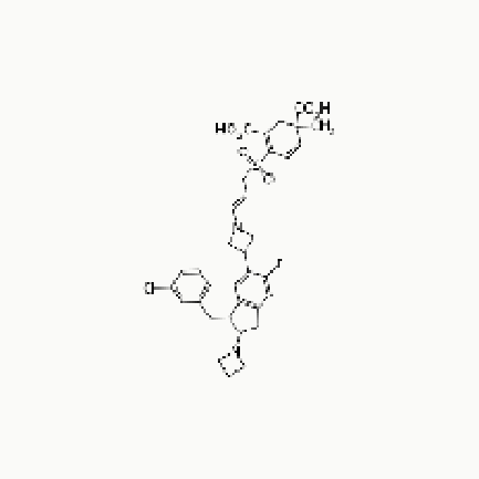 CC1(C(=O)O)C=CC(S(=O)(=O)CC=CN2CC(c3cc4c(cc3F)CC(N3CCC3)C4Cc3cccc(Cl)c3)C2)=C(C(=O)O)C1